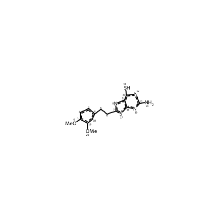 COc1ccc(CCc2nc3c(S)nc(N)nc3s2)cc1OC